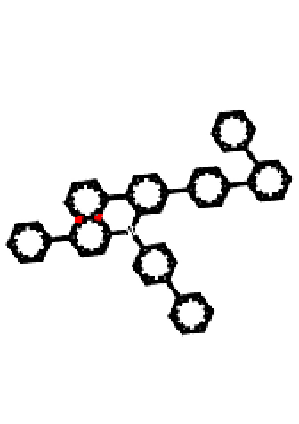 c1ccc(-c2ccc(N(c3ccc(-c4ccccc4)cc3)c3cc(-c4ccc(-c5ccccc5-c5ccccc5)cc4)ccc3-c3ccccc3)cc2)cc1